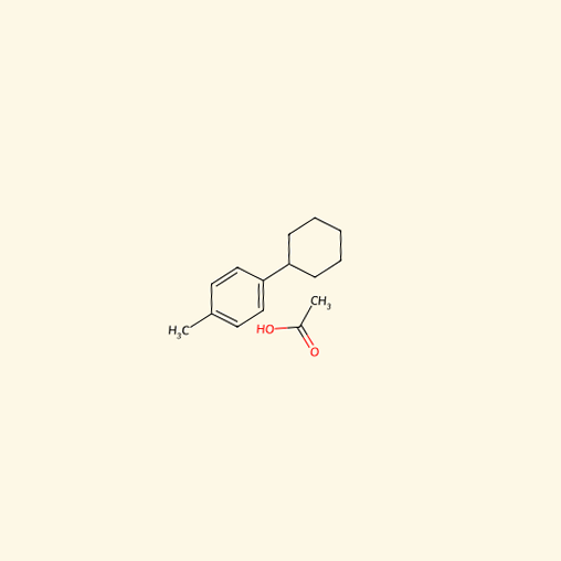 CC(=O)O.Cc1ccc(C2CCCCC2)cc1